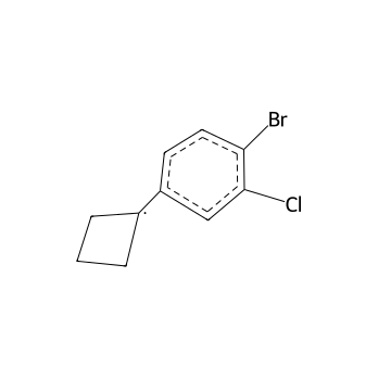 Clc1cc([C]2CCC2)ccc1Br